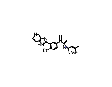 C=C(/N=C(\C=C(C)C)NC)Nc1ccc(CC)c(-c2nc3cnccc3[nH]2)c1